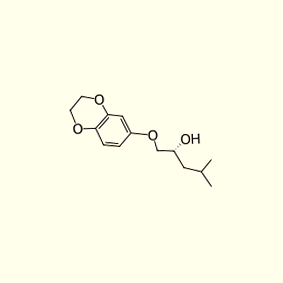 CC(C)C[C@@H](O)COc1ccc2c(c1)OCCO2